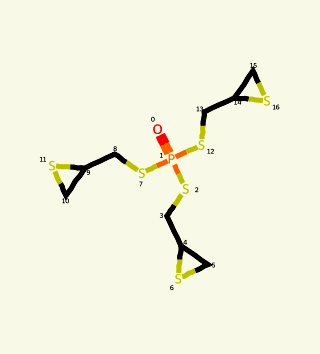 O=P(SCC1CS1)(SCC1CS1)SCC1CS1